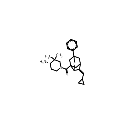 CC1(C)CN(C(=S)C23CC4CC(c5ccccc5)(CC2/C4=C\C2CC2)C3)CC[C@@H]1N